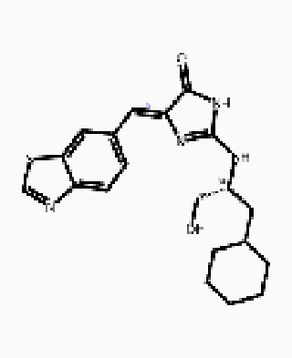 O=C1NC(N[C@@H](CO)CC2CCCCC2)=N/C1=C\c1ccc2ncsc2c1